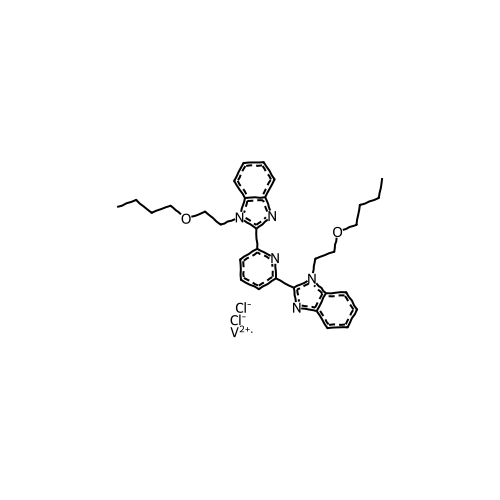 CCCCOCCn1c(-c2cccc(-c3nc4ccccc4n3CCOCCCC)n2)nc2ccccc21.[Cl-].[Cl-].[V+2]